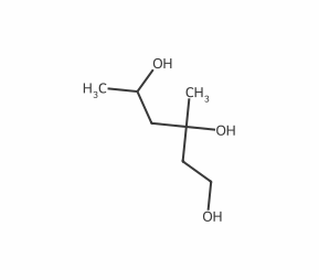 CC(O)CC(C)(O)CCO